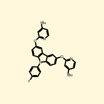 CC(C)(C)c1ccnc(Oc2ccc3c(c2)c2cc(Oc4cc(C(C)(C)C)ccn4)ccc2n3-c2ccc(F)cc2)c1